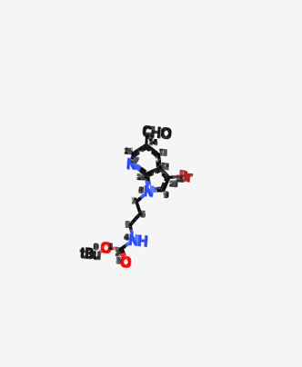 CC(C)(C)OC(=O)NCCCn1cc(Br)c2cc(C=O)cnc21